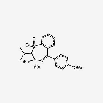 CCCCC1(CCCC)N=C(c2ccc(OC)cc2)c2ccccc2S(=O)(=O)C1N(C)C